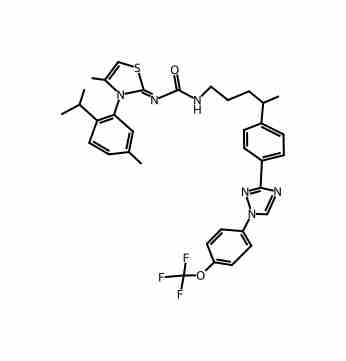 Cc1ccc(C(C)C)c(-n2c(C)cs/c2=N\C(=O)NCCCC(C)c2ccc(-c3ncn(-c4ccc(OC(F)(F)F)cc4)n3)cc2)c1